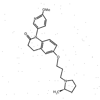 COc1ccc(N2C(=O)CCc3cc(OCCCN4CCC[C@H]4C)ccc32)cn1